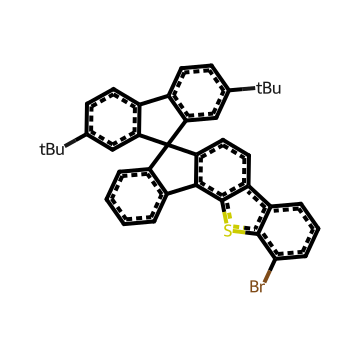 CC(C)(C)c1ccc2c(c1)C1(c3cc(C(C)(C)C)ccc3-2)c2ccccc2-c2c1ccc1c2sc2c(Br)cccc21